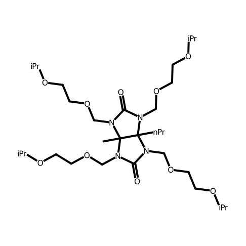 CCCC12N(COCCOC(C)C)C(=O)N(COCCOC(C)C)C1(C)N(COCCOC(C)C)C(=O)N2COCCOC(C)C